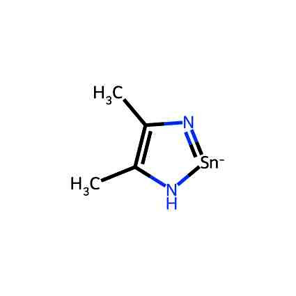 CC1=C(C)[NH][Sn-]=[N]1